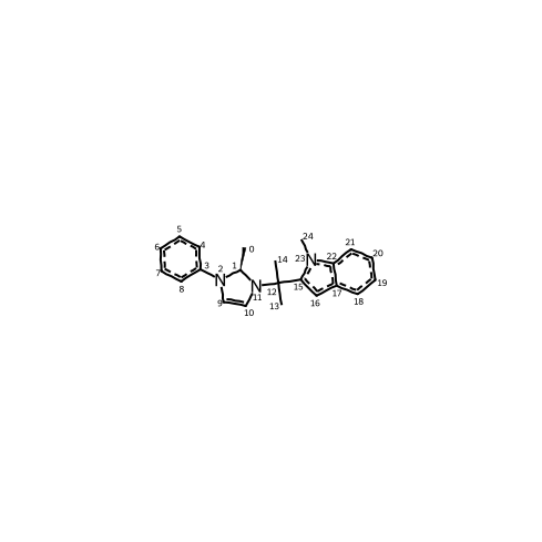 C[C@@H]1N(c2ccccc2)C=CN1C(C)(C)c1cc2ccccc2n1C